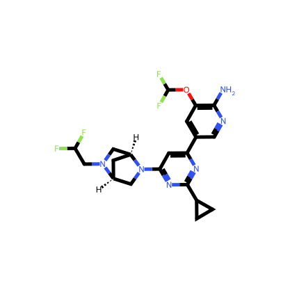 Nc1ncc(-c2cc(N3C[C@@H]4C[C@H]3CN4CC(F)F)nc(C3CC3)n2)cc1OC(F)F